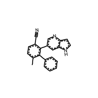 Cc1ccc(C#N)c(-c2cnc3cc[nH]c3c2)c1-c1ccccc1